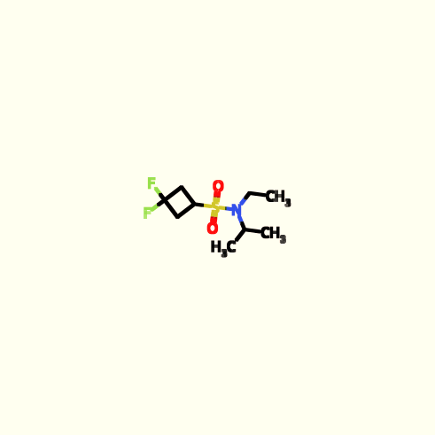 CCN(C(C)C)S(=O)(=O)C1CC(F)(F)C1